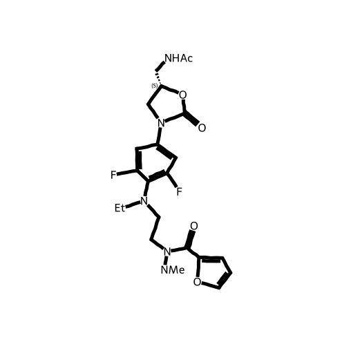 CCN(CCN(NC)C(=O)c1ccco1)c1c(F)cc(N2C[C@H](CNC(C)=O)OC2=O)cc1F